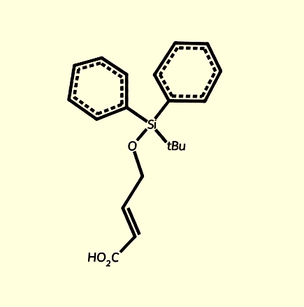 CC(C)(C)[Si](OCC=CC(=O)O)(c1ccccc1)c1ccccc1